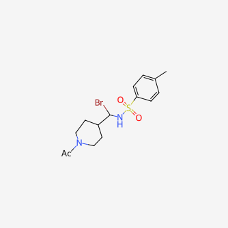 CC(=O)N1CCC(C(Br)NS(=O)(=O)c2ccc(C)cc2)CC1